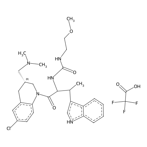 COCCNC(=O)NC(C(=O)N1C[C@@H](CN(C)C)Cc2cc(Cl)ccc21)C(C)c1c[nH]c2ccccc12.O=C(O)C(F)(F)F